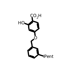 CCCC(C)c1cccc(COc2ccc(C(=O)O)c(O)c2)c1